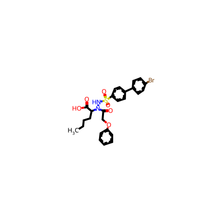 CCCCC(C(=O)O)N(NS(=O)(=O)c1ccc(-c2ccc(Br)cc2)cc1)C(=O)COc1ccccc1